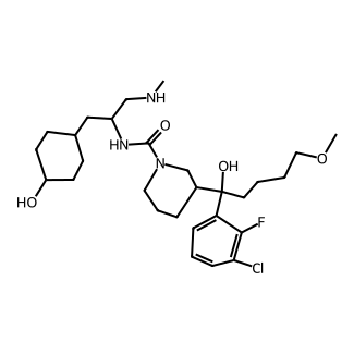 CNCC(CC1CCC(O)CC1)NC(=O)N1CCCC(C(O)(CCCCOC)c2cccc(Cl)c2F)C1